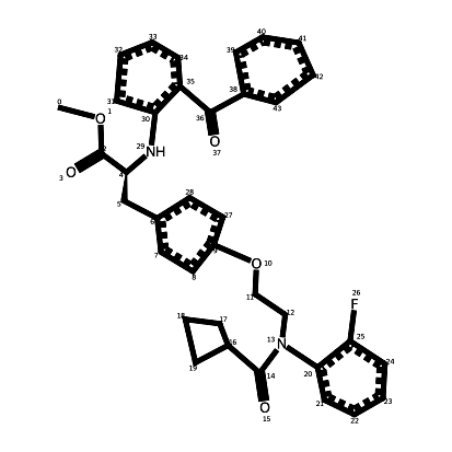 COC(=O)[C@H](Cc1ccc(OCCN(C(=O)C2CCC2)c2ccccc2F)cc1)Nc1ccccc1C(=O)c1ccccc1